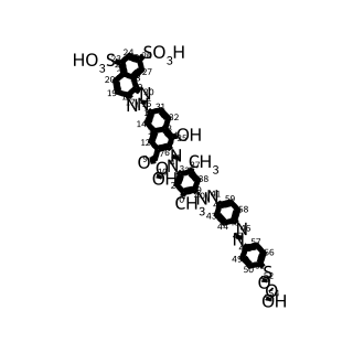 Cc1cc(N=Nc2c(C(=O)OO)cc3cc(-n4nc5ccc6c(S(=O)(=O)O)cc(S(=O)(=O)O)cc6c5n4)ccc3c2O)c(C)cc1N=Nc1ccc(N=Nc2ccc(SOOO)cc2)cc1